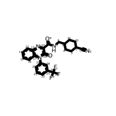 N#CC1CCC(CNC(=O)c2nc3ccccc3n(-c3cccc(C(F)(F)F)c3)c2=O)CC1